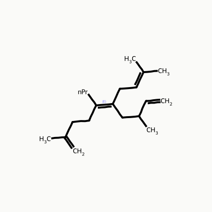 C=CC(C)C/C(CC=C(C)C)=C(/CCC)CCC(=C)C